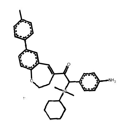 Cc1ccc(-c2ccc3c(c2)C=C(C(=O)C(c2ccc(N)cc2)[N+](C)(C)C2CCCCC2)CCO3)cc1.[I-]